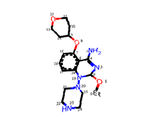 CCOC1N=C(N)c2c(OC3CCOCC3)cccc2N1N1CCNCC1